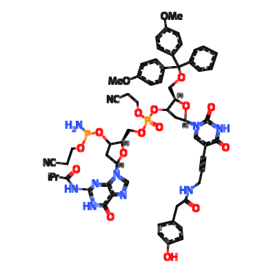 COc1ccc(C(OC[C@H]2O[C@@H](n3cc(C#CCNC(=O)Cc4ccc(O)cc4)c(=O)[nH]c3=O)CC2OP(=O)(OCCC#N)OC[C@H]2O[C@@H](n3cnc4c(=O)[nH]c(NC(=O)C(C)C)nc43)CC2OP(N)OCCC#N)(c2ccccc2)c2ccc(OC)cc2)cc1